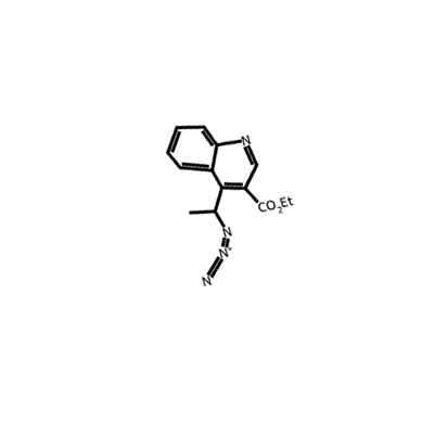 CCOC(=O)c1cnc2ccccc2c1C(C)N=[N+]=[N-]